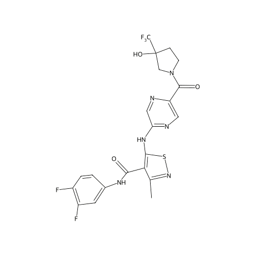 Cc1nsc(Nc2cnc(C(=O)N3CCC(O)(C(F)(F)F)C3)cn2)c1C(=O)Nc1ccc(F)c(F)c1